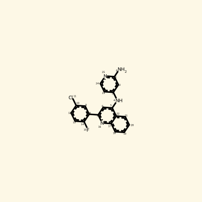 Nc1cc(Nc2cc(-c3cc(Cl)ccc3F)nc3ccccc23)ccn1